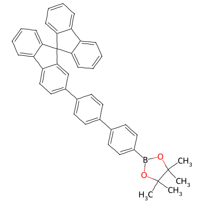 CC1(C)OB(c2ccc(-c3ccc(-c4ccc5c(c4)C4(c6ccccc6-c6ccccc64)c4ccccc4-5)cc3)cc2)OC1(C)C